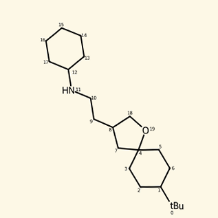 CC(C)(C)C1CCC2(CC1)CC(CCNC1CCCCC1)CO2